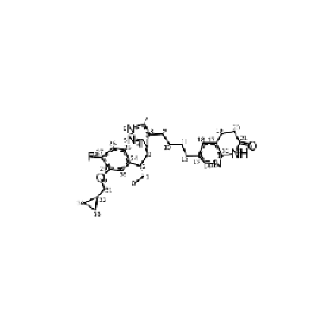 CC[C@@H](Cn1nncc1CCCCc1cnc2c(c1)CCC(=O)N2)c1ccc(F)c(OCC2CC2)c1